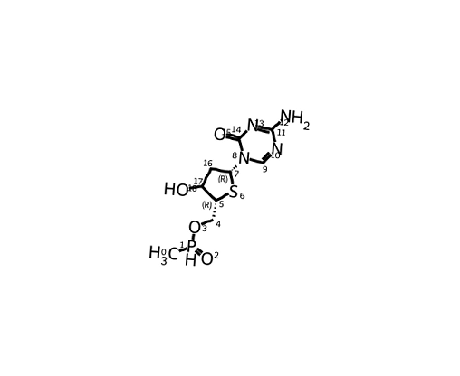 C[PH](=O)OC[C@H]1S[C@@H](n2cnc(N)nc2=O)CC1O